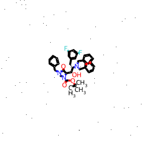 CC(C)(C)OC(=O)N1CN(Cc2ccccc2)C(=O)C1[C@@H](O)[C@H](Cc1cc(F)cc(F)c1)N(Cc1ccccc1)Cc1ccccc1